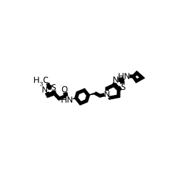 Cc1ncc(CC(=O)N[C@H]2CC[C@H](CCN3CCc4sc(NC5CCC5)nc4C3)CC2)s1